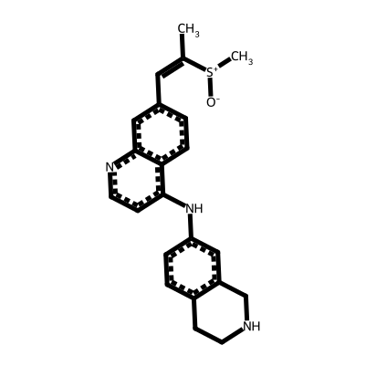 C/C(=C/c1ccc2c(Nc3ccc4c(c3)CNCC4)ccnc2c1)[S+](C)[O-]